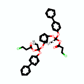 CCC(OC(=O)CCCl)(Oc1ccc(-c2ccccc2)cc1)Oc1cccc(OC(CC)(OC(=O)CCCl)Oc2ccc(-c3ccccc3)cc2)c1